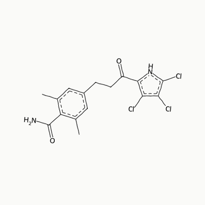 Cc1cc(CCC(=O)c2[nH]c(Cl)c(Cl)c2Cl)cc(C)c1C(N)=O